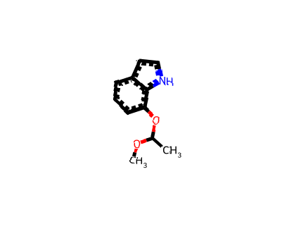 COC(C)Oc1cccc2[c]c[nH]c12